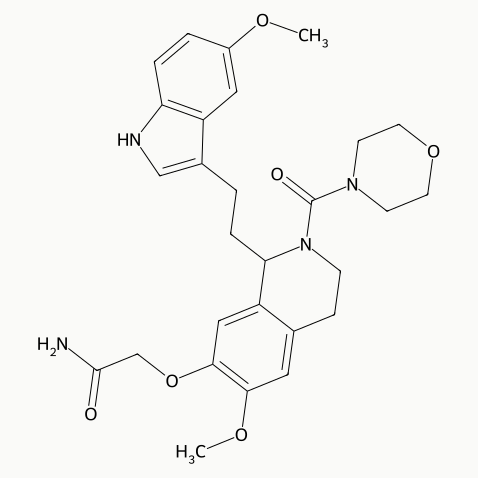 COc1ccc2[nH]cc(CCC3c4cc(OCC(N)=O)c(OC)cc4CCN3C(=O)N3CCOCC3)c2c1